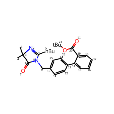 CCCCC1=NC(C)(C)C(=O)N1Cc1ccc(-c2ccccc2C(=O)OC(C)(C)C)cc1